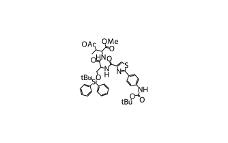 COC(=O)C(NC(=O)C(CO[Si](c1ccccc1)(c1ccccc1)C(C)(C)C)NC(=O)c1csc(-c2ccc(NC(=O)OC(C)(C)C)cc2)n1)C(C)OC(C)=O